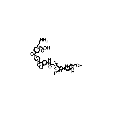 Cn1c(-c2cn(-c3ccc4[nH]c(CO)cc4n3)nc2C(F)(F)F)cnc1C(=O)Nc1ccc(C(=O)N2CCN(C(=O)C3CC[N+](CCCN)(CC(=O)O)CC3)CC2)c(Cl)c1